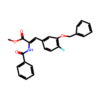 COC(=O)/C(=C/c1ccc(F)c(OCc2ccccc2)c1)NC(=O)c1ccccc1